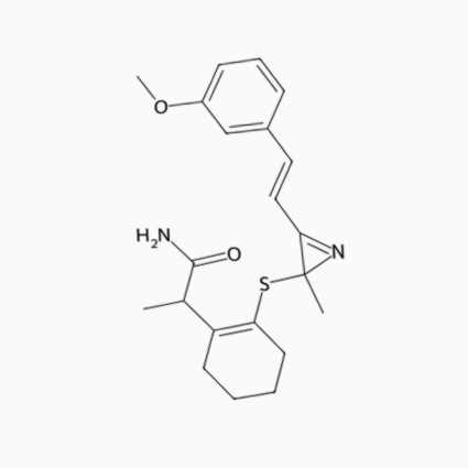 COc1cccc(/C=C/C2=NC2(C)SC2=C(C(C)C(N)=O)CCCC2)c1